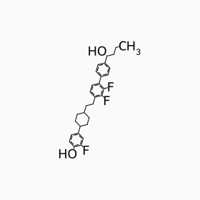 CCCC(O)c1ccc(-c2ccc(CCC3CCC(c4ccc(O)c(F)c4)CC3)c(F)c2F)cc1